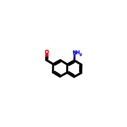 Nc1cccc2ccc(C=O)cc12